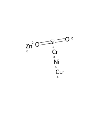 O=[Si]=O.[Cr].[Cu].[Ni].[Zn]